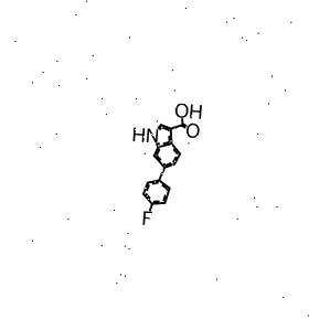 O=C(O)c1c[nH]c2cc(-c3ccc(F)cc3)ccc12